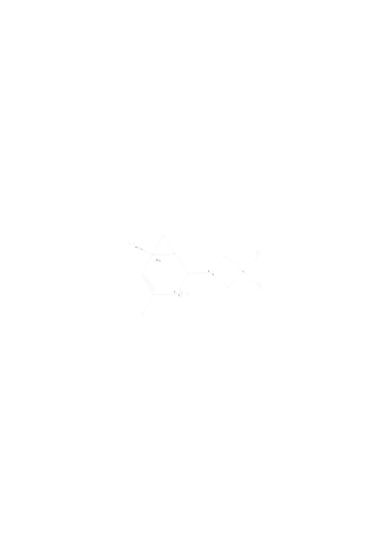 FC1(F)CN(C2NC(I)=C[C@@H]3CC23)C1